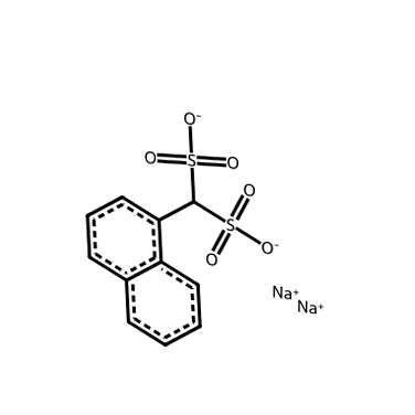 O=S(=O)([O-])C(c1cccc2ccccc12)S(=O)(=O)[O-].[Na+].[Na+]